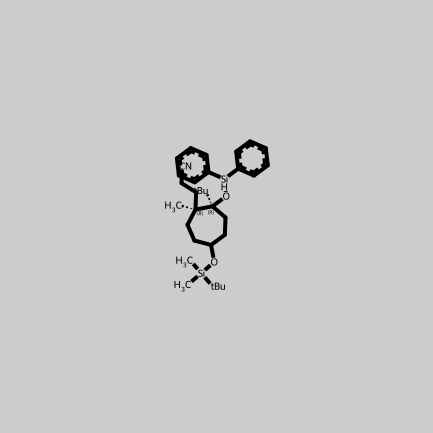 CC(C)(C)[C@]1(O[SiH](c2ccccc2)c2ccccc2)CCC(O[Si](C)(C)C(C)(C)C)CC[C@@]1(C)CCC#N